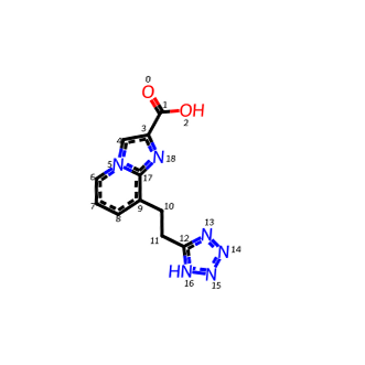 O=C(O)c1cn2cccc(CCc3nnn[nH]3)c2n1